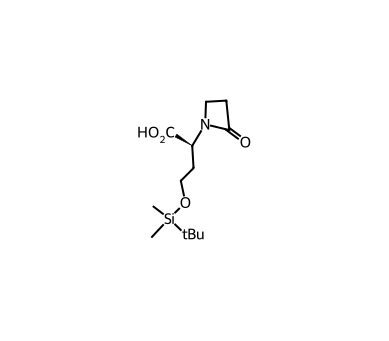 CC(C)(C)[Si](C)(C)OCC[C@@H](C(=O)O)N1CCC1=O